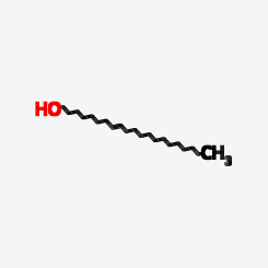 CCCCCCCCCCCCC=CCCCCCCCO